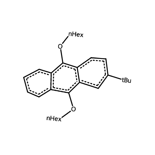 CCCCCCOc1c2ccccc2c(OCCCCCC)c2cc(C(C)(C)C)ccc12